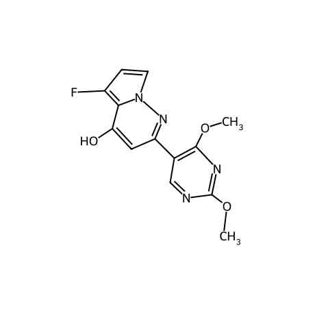 COc1ncc(-c2cc(O)c3c(F)ccn3n2)c(OC)n1